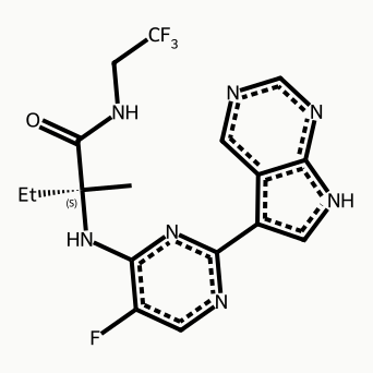 CC[C@](C)(Nc1nc(-c2c[nH]c3ncncc23)ncc1F)C(=O)NCC(F)(F)F